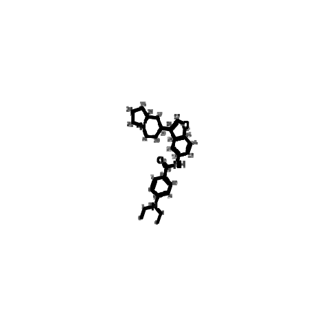 CCN(CC)c1ccc(C(=O)Nc2ccc3occ(C4CCN5CCCC5C4)c3c2)cc1